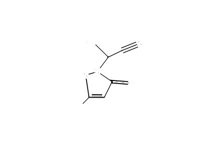 Cc1cc(=O)n(C(C)C#N)[nH]1